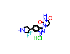 Cl.Cn1nc(N2CCC(=O)NC2=O)c2ccc(C3CCNCC3(F)F)cc21